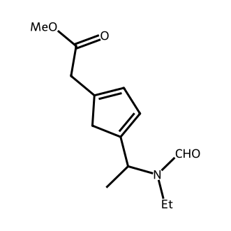 CCN(C=O)C(C)C1=CC=C(CC(=O)OC)C1